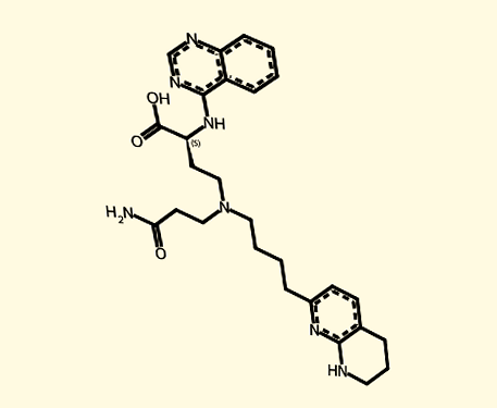 NC(=O)CCN(CCCCc1ccc2c(n1)NCCC2)CC[C@H](Nc1ncnc2ccccc12)C(=O)O